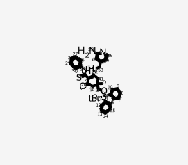 CC1(CO[Si](c2ccccc2)(c2ccccc2)C(C)(C)C)CC(=O)C(C(=S)Nc2ccccc2)=C(NCc2ccnc(N)c2)C1